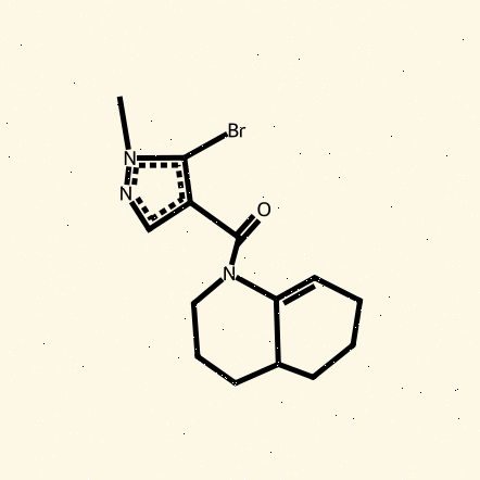 Cn1ncc(C(=O)N2CCCC3CCCC=C32)c1Br